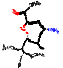 CC[C@@H](OC(C)=O)[C@@H](OC(C)=O)[C@@H]1OC(C(=O)OC)=C[C@H](N)[C@H]1C